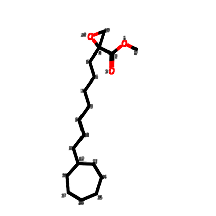 COC(=O)C1(CCCCCCCC2CCCCCC2)CO1